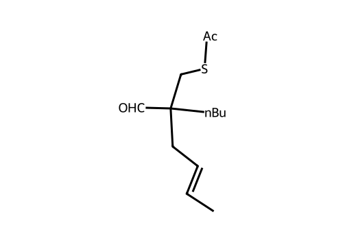 CC=CCC(C=O)(CCCC)CSC(C)=O